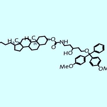 COc1ccc(C(OCCC(O)CCNC(=O)O[C@@H]2CC[C@]3(C)C(CCC4C5CCC(CCCC(C)C)[C@]5(C)CCC43)C2)(c2ccccc2)c2ccc(OC)cc2)cc1